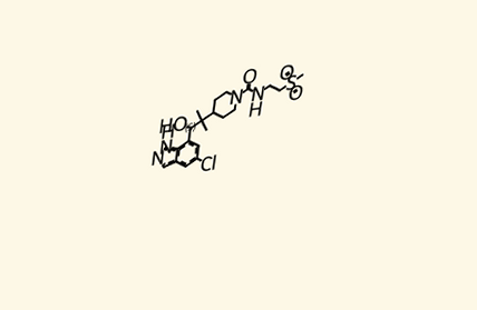 CC(C)(C1CCN(C(=O)NCCS(C)(=O)=O)CC1)[C@H](O)c1cc(Cl)cc2cn[nH]c12